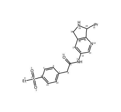 CCS(=O)(=O)c1ccc(CC(=O)Nc2cnc3c(c2)CNC3C(C)C)cc1